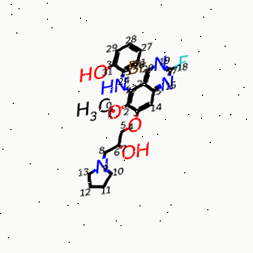 COc1c(OCC(O)CN2CCCC2)cc2nc(F)nc(Br)c2c1Nc1ccccc1O